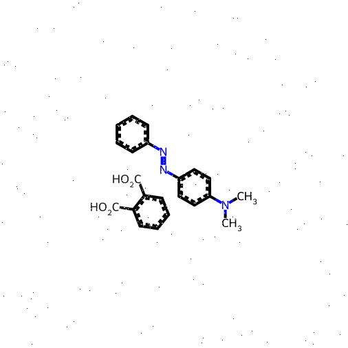 CN(C)c1ccc(N=Nc2ccccc2)cc1.O=C(O)c1ccccc1C(=O)O